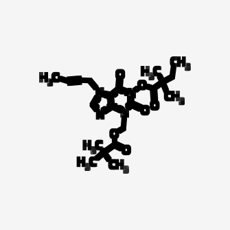 CC#CCn1cnc2c1c(=O)n(OC(=O)C(C)(C)CC)c(=O)n2COC(=O)C(C)(C)C